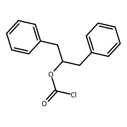 O=C(Cl)OC(Cc1ccccc1)Cc1ccccc1